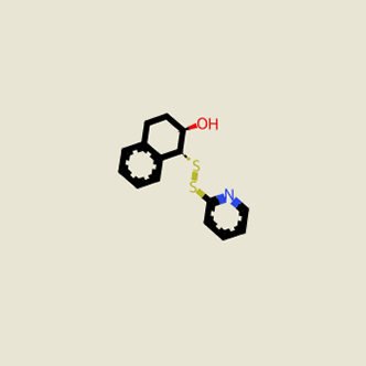 O[C@@H]1CCc2ccccc2[C@H]1SSc1ccccn1